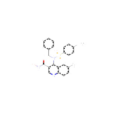 COc1ccc(S(=O)(=O)N(Cc2ccccc2)c2c(C(=O)NO)cnc3ccc([N+](=O)[O-])cc23)cc1